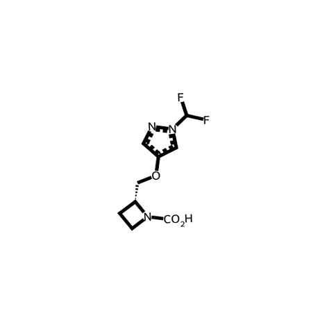 O=C(O)N1CC[C@@H]1COc1cnn(C(F)F)c1